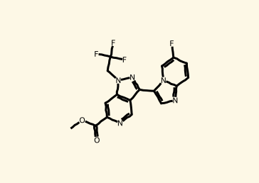 COC(=O)c1cc2c(cn1)c(-c1cnc3ccc(F)cn13)nn2CC(F)(F)F